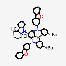 CC(C)(C)c1ccc2c(c1)B1c3cc(C(C)(C)C)ccc3N(c3ccc4c(c3)oc3ccccc34)c3cc(N4c5ccccc5C5(C)CCCCC45C)cc(c31)N2c1ccc2c(c1)oc1ccccc12